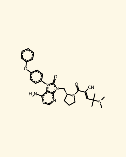 CN(C)C(C)(C)C=C(C#N)C(=O)N1CCC[C@H]1Cn1c(=O)n(-c2ccc(Oc3ccccc3)cc2)c2c(N)ncnc21